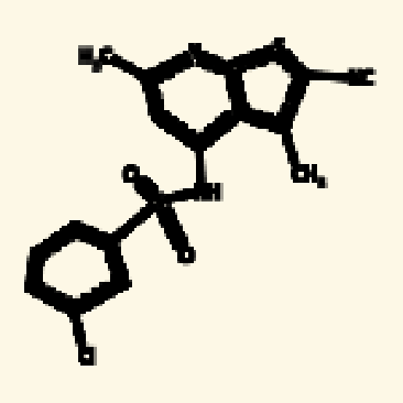 [C-]#[N+]c1sc2nc(C)cc(NS(=O)(=O)c3cccc(Cl)c3)c2c1C